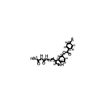 CCCCC(=O)NC(=O)N/N=C/c1c[nH]c2ccc(OC(=O)c3ccc(F)cc3)cc12